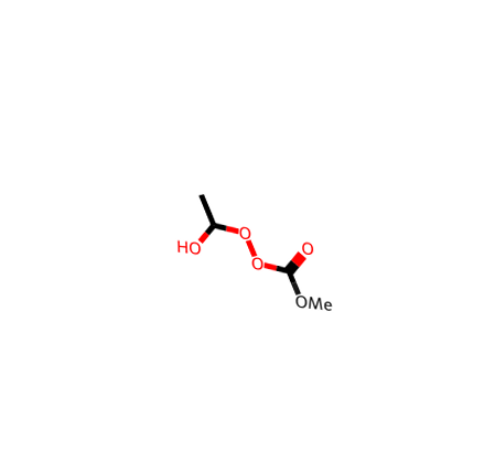 COC(=O)OOC(C)O